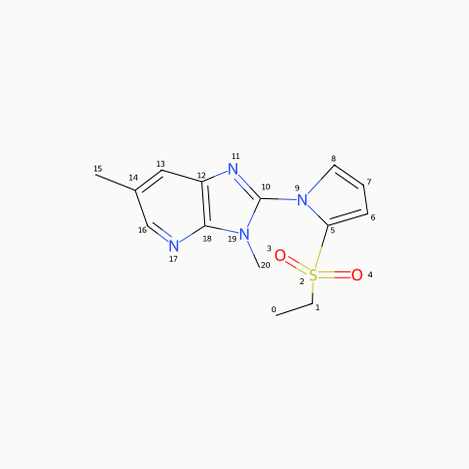 CCS(=O)(=O)c1cccn1-c1nc2cc(C)cnc2n1C